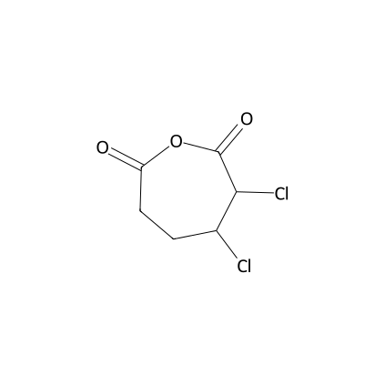 O=C1CCC(Cl)C(Cl)C(=O)O1